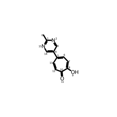 Cc1ncc(-c2ccc(O)c(=O)cc2)cn1